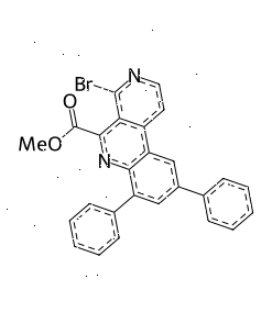 COC(=O)c1nc2c(-c3ccccc3)cc(-c3ccccc3)cc2c2ccnc(Br)c12